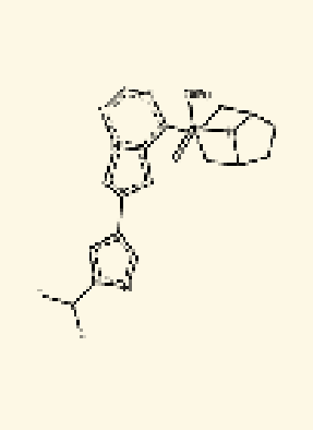 CC(C)COC(=O)N1C2CCC1CN(c1ncnn3cc(-c4cnn(C(F)F)c4)cc13)C2